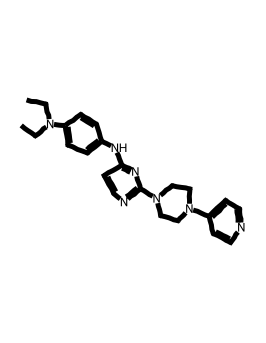 CCN(CC)c1ccc(Nc2ccnc(N3CCN(c4ccncc4)CC3)n2)cc1